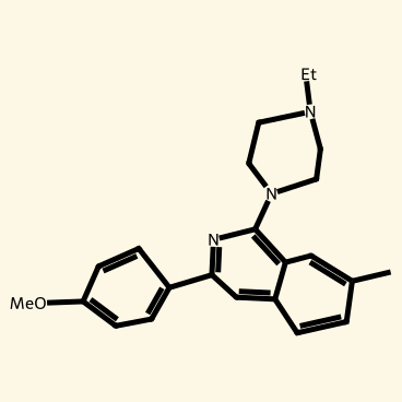 CCN1CCN(c2nc(-c3ccc(OC)cc3)cc3ccc(C)cc23)CC1